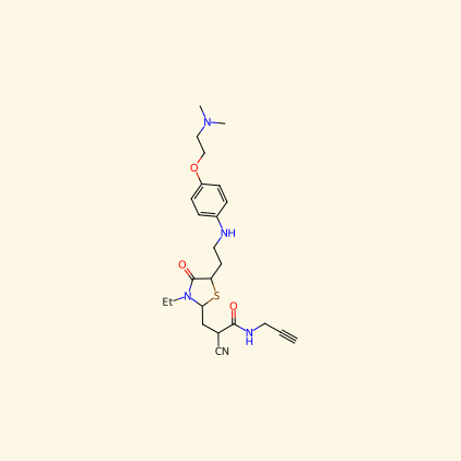 C#CCNC(=O)C(C#N)CC1SC(CCNc2ccc(OCCN(C)C)cc2)C(=O)N1CC